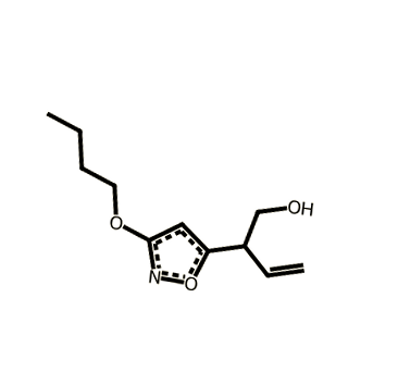 C=CC(CO)c1cc(OCCCC)no1